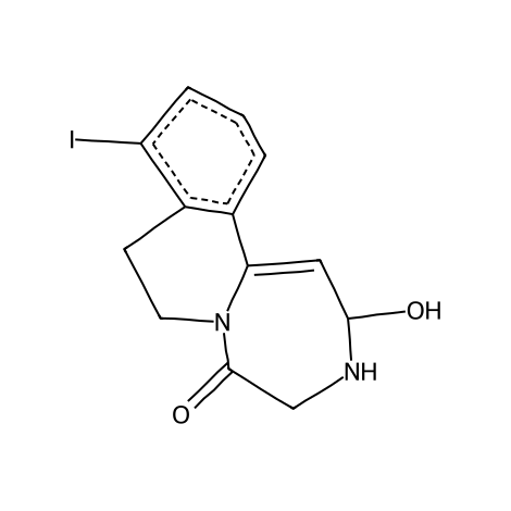 O=C1CNC(O)C=C2c3cccc(I)c3CCN12